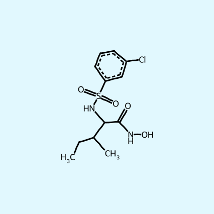 CCC(C)C(NS(=O)(=O)c1cccc(Cl)c1)C(=O)NO